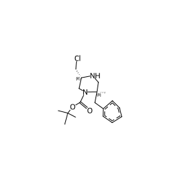 CC(C)(C)OC(=O)N1C[C@H](CCl)NC[C@@]1(C)Cc1ccccc1